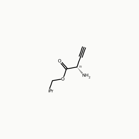 C#C[C@H](N)C(=O)OCC(C)C